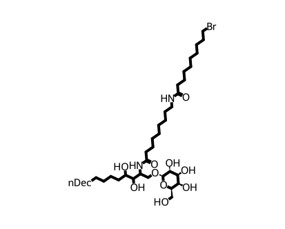 CCCCCCCCCCCCCCC(O)C(O)C(CO[C@H]1O[C@H](CO)[C@H](O)[C@H](O)[C@H]1O)NC(=O)CCCCCCCCNC(=O)CCCCCCCCCBr